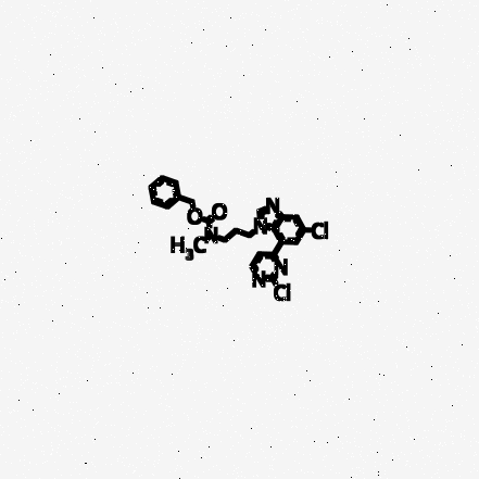 CN(CCCn1cnc2cc(Cl)cc(-c3ccnc(Cl)n3)c21)C(=O)OCc1ccccc1